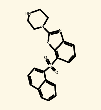 O=S(=O)(c1cccc2ccccc12)c1cccc2nc(N3CCNCC3)sc12